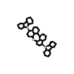 c1cc2c(-n3c4ccccc4c4ccccc43)ccc3oc4ccc(-n5c6ccccc6c6ccccc65)c5cccc(c(c1)c32)c45